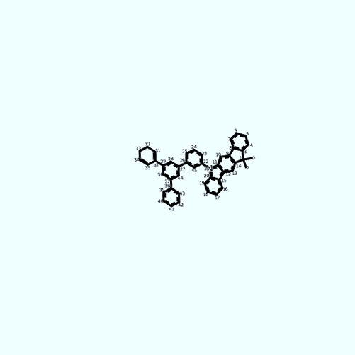 CC1(C)c2ccccc2-c2cc3c(cc21)c1ccccc1n3-c1cccc(-c2cc(C3=CCCC=C3)cc(-c3ccccc3)c2)c1